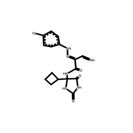 N=C/C(=N\Nc1ccc(Cl)cc1)C(=O)NC1(C2CCC2)NC(=O)NC1=O